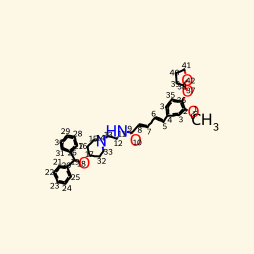 COc1cc(C=CC=CC(=O)NCCN2CCC(OC(c3ccccc3)c3ccccc3)CC2)ccc1OC1CCCO1